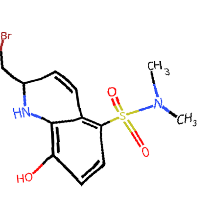 CN(C)S(=O)(=O)c1ccc(O)c2c1C=CC(CBr)N2